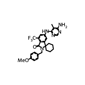 COc1ccc(CN2C(=O)c3c(C(F)(F)F)cc(Nc4ncnc(N)c4C)cc3C23CCCCC3)cc1